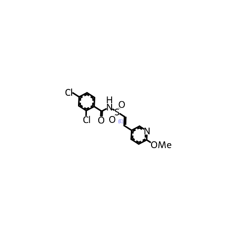 COc1ccc(/C=C/S(=O)(=O)NC(=O)c2ccc(Cl)cc2Cl)cn1